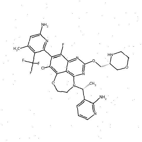 Cc1cc(N)nc(-c2c(Cl)c3c4c(nc(OC[C@H]5COCCN5)nc4c2F)N([C@H](C)c2cccnc2N)CCO3)c1C(F)(F)F